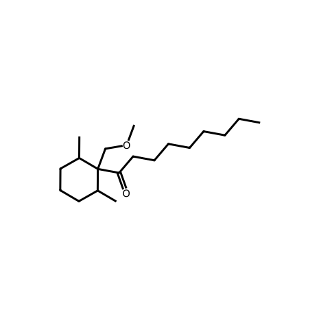 CCCCCCCCC(=O)C1(COC)C(C)CCCC1C